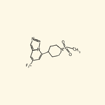 CS(=O)(=O)N1CCC(c2cc(C(F)(F)F)cc3cncn23)CC1